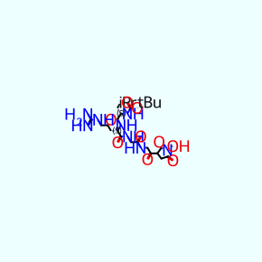 CC(C)C[C@H](NC(=O)OC(C)(C)C)C(=O)N[C@@H](CCCNC(=N)N)C(=O)NCC(=O)NCC(=O)C1CC(=O)N(O)C1=O